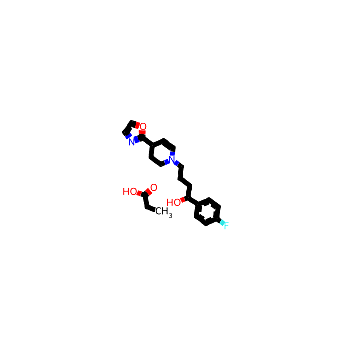 CCC(=O)O.OC(CCCN1C=CC(c2ncco2)CC1)c1ccc(F)cc1